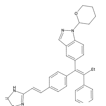 CC/C(=C(/c1ccc(/C=C/c2noc(=O)[nH]2)cc1)c1ccc2c(cnn2C2CCCCO2)c1)c1ccccc1